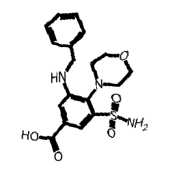 NS(=O)(=O)c1cc(C(=O)O)cc(NCc2ccccc2)c1N1CCOCC1